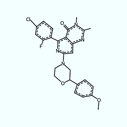 COc1ccc(C2CN(c3cc4nc(C)n(C)c(=O)c4c(-c4ccc(Cl)cc4F)n3)CCO2)cc1